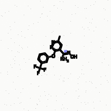 Cc1cc(/C(N)=N/O)c(Oc2cccc(C(F)(F)F)c2)nn1